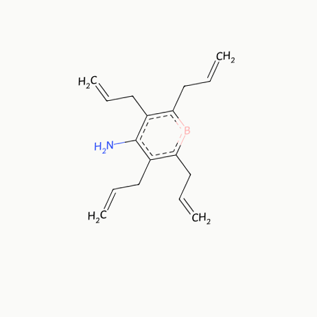 C=CCc1bc(CC=C)c(CC=C)c(N)c1CC=C